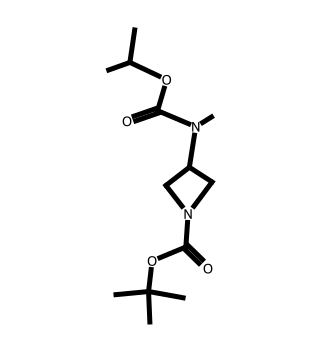 CC(C)OC(=O)N(C)C1CN(C(=O)OC(C)(C)C)C1